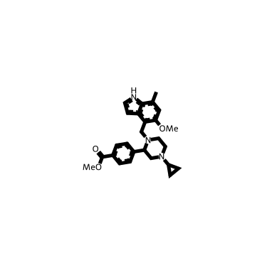 COC(=O)c1ccc(C2CN(C3CC3)CCN2Cc2c(OC)cc(C)c3[nH]ccc23)cc1